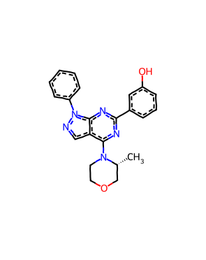 C[C@@H]1COCCN1c1nc(-c2cccc(O)c2)nc2c1cnn2-c1ccccc1